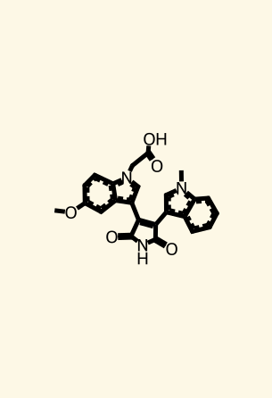 COc1ccc2c(c1)c(C1=C(c3cn(C)c4ccccc34)C(=O)NC1=O)cn2CC(=O)O